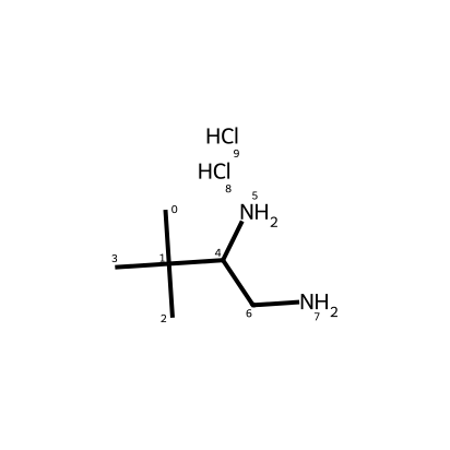 CC(C)(C)C(N)CN.Cl.Cl